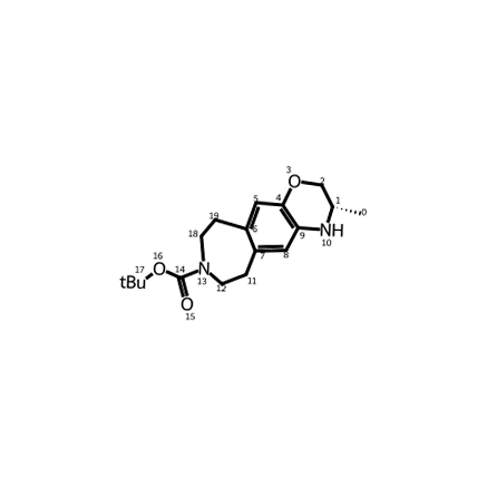 C[C@H]1COc2cc3c(cc2N1)CCN(C(=O)OC(C)(C)C)CC3